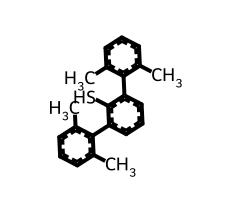 Cc1cccc(C)c1-c1cccc(-c2c(C)cccc2C)c1S